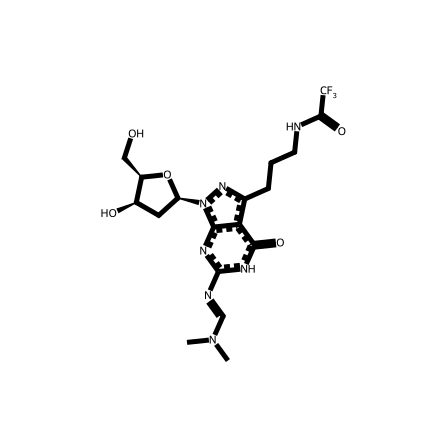 CN(C)/C=N/c1nc2c(c(CCCNC(=O)C(F)(F)F)nn2[C@H]2C[C@@H](O)[C@@H](CO)O2)c(=O)[nH]1